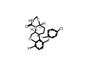 O=C1NCC[C@@H]2CC[C@@]3(Cc4ccc(Cl)cc4)c4c(F)ccc(F)c4OC[C@H]3N12